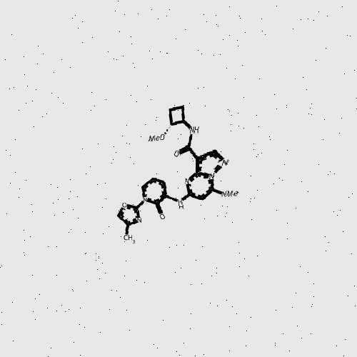 CNc1cc(Nc2cccn(-c3nc(C)co3)c2=O)nc2c(C(=O)NC3CC[C@H]3OC)cnn12